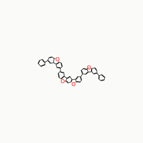 C1=CC2Oc3ccc(-c4ccc5oc6cc7oc8ccc(-c9ccc%10oc%11ccc(-c%12ccccc%12)cc%11c%10c9)cc8c7cc6c5c4)cc3C2C=C1c1ccccc1